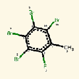 Cc1c(F)c(Br)c(Br)c(Br)c1Br